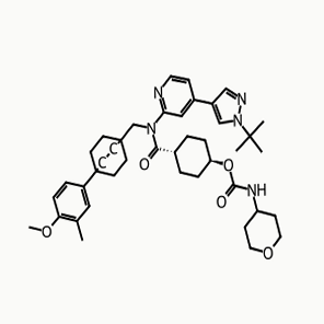 COc1ccc(C23CCC(CN(c4cc(-c5cnn(C(C)(C)C)c5)ccn4)C(=O)[C@H]4CC[C@H](OC(=O)NC5CCOCC5)CC4)(CC2)CC3)cc1C